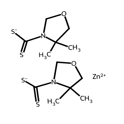 CC1(C)COCN1C(=S)[S-].CC1(C)COCN1C(=S)[S-].[Zn+2]